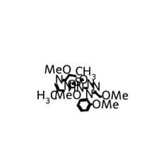 COCc1nnc(NS(=O)(=O)C(C)C(OC)c2ncc(C)cn2)n1-c1c(OC)cccc1OC